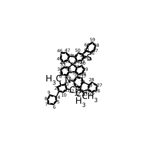 Cc1cc(-c2ccccc2)cc(C)c1N(c1ccc2c(c1)C(C)(C)c1ccccc1-2)c1cccc2c1-c1ccccc1C21c2ccccc2-c2cc3c(cc21)sc1ccccc13